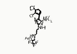 Nc1nc(NCCNCC(O)C(F)(F)F)nnc1-c1cccc(Cl)c1Cl